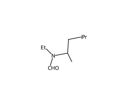 CCN(C=O)C(C)CC(C)C